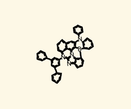 c1ccc(-c2cc(-c3ccccc3)cc(-n3c4cccc5cc6c7c(c54)n4c5c(cccc5nc34)B7c3ccccc3N6c3ccccc3)c2)cc1